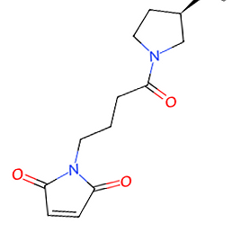 C[C@@H]1CCN(C(=O)CCCN2C(=O)C=CC2=O)C1